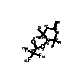 C=C1CC(C)(C)N(OC(=O)C(F)(F)F)C(C)(C)C1